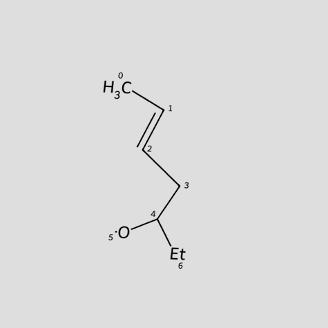 C/C=C/CC([O])CC